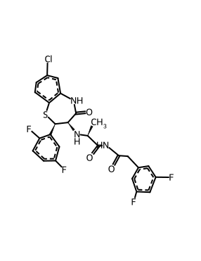 C[C@H](N[C@@H]1C(=O)Nc2cc(Cl)ccc2S[C@@H]1c1cc(F)ccc1F)C(=O)NC(=O)Cc1cc(F)cc(F)c1